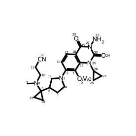 COc1c(N2CCC(C3(N(C)CCC#N)CC3)C2)ccc2c(=O)n(N)c(=O)n(C3CC3)c12